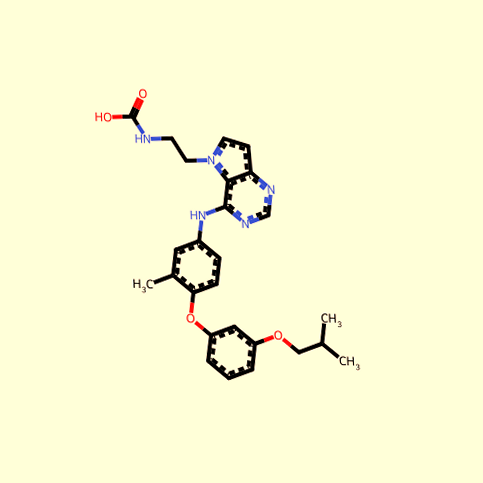 Cc1cc(Nc2ncnc3ccn(CCNC(=O)O)c23)ccc1Oc1cccc(OCC(C)C)c1